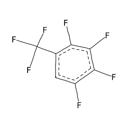 Fc1cc(C(F)(F)F)c(F)c(F)c1F